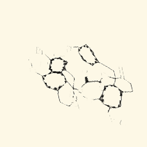 COc1cc2c(cc1OC)C(Cc1ccc(Br)cc1)(OC(=O)C(=O)OC1(Cc3ccc(Br)cc3)NCCc3cc(OC)c(OC)cc31)NCC2